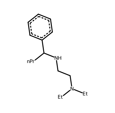 CCCC(NCCN(CC)CC)c1ccccc1